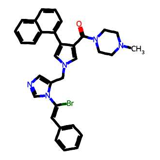 CN1CCN(C(=O)c2cn(Cc3cncn3C(Br)=Cc3ccccc3)cc2-c2cccc3ccccc23)CC1